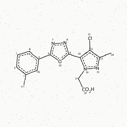 Cc1cccc(-c2nnc(-c3c(Cl)c(C)nn3CC(=O)O)o2)c1